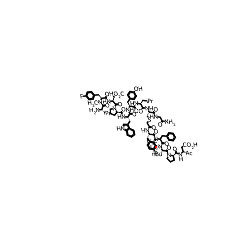 CCCC[C@@H](C(=O)N1CCC[C@@H]1C(=O)N[C@@H](CC(=O)O)C(C)=O)N(C)C(=O)C(Cc1ccccc1)N(C)C(=O)[C@H](Cc1ccc(F)cc1)NC(=O)CSC[C@H](NC(=O)[C@H](CC(C)C)NC(=O)[C@H](Cc1ccc(O)cc1)NC(=O)[C@H](Cc1c[nH]c2ccccc12)NC(=O)[C@H]1CCCN1C(=O)[C@H](CC(=O)O)NC(=O)[C@H](Cc1ccc(F)cc1)N(C)C(=O)[C@@H](N)C(C)C)C(=O)NCC(N)=O